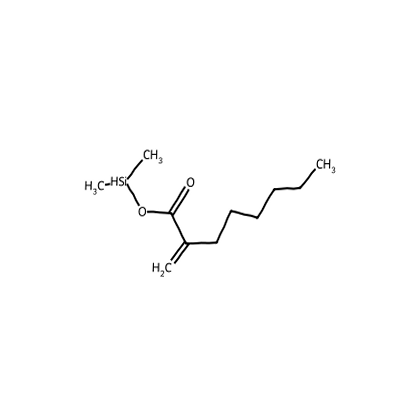 C=C(CCCCCC)C(=O)O[SiH](C)C